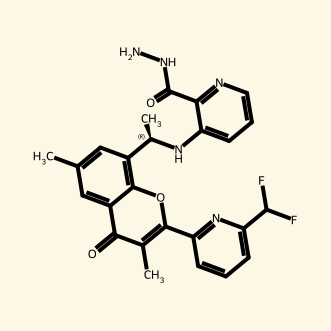 Cc1cc([C@@H](C)Nc2cccnc2C(=O)NN)c2oc(-c3cccc(C(F)F)n3)c(C)c(=O)c2c1